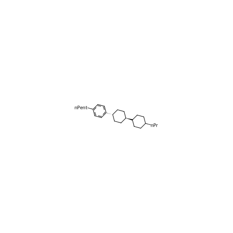 CCCCCc1ccc([C@H]2CC[C@H](C3CCC(CCC)CC3)CC2)cc1